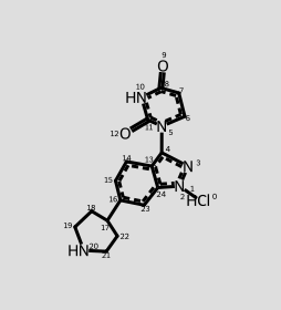 Cl.Cn1nc(-n2ccc(=O)[nH]c2=O)c2ccc(C3CCNCC3)cc21